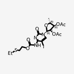 CCSCCOC(=O)Nc1nc(=O)n([C@@H]2O[C@H](C)[C@@H](OC(C)=O)[C@H]2OC(C)=O)cc1I